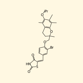 Cc1c(C)c2c(c(C)c1OC(C)C)CCC(C)(COc1ccc(/C=C3/SC(=O)NC3=O)cc1Br)O2